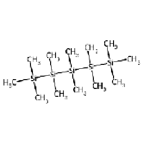 C[Si](C)(C)[Si](C)(C)[Si](C)(C)[Si](C)(C)[Si](C)(C)C